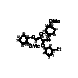 CCc1cccc(OC(=Nc2ccc(OC)cc2)C(C)=COc2ccccc2OC)c1